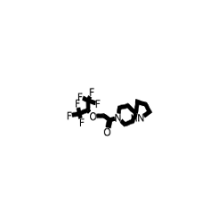 O=C(COC(C(F)(F)F)C(F)(F)F)N1CCC2(CCCN2)CC1